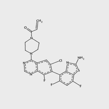 C=CC(=O)N1CCN(c2ncnc3c(F)c(-c4c(F)cc(F)c5sc(N)nc45)c(Cl)cc23)CC1